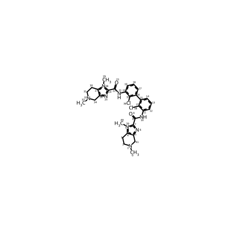 CN1CCc2c(nc(C(=O)Nc3cccc(-c4cccc(NC(=O)c5nc6c(n5C)CCN(C)C6)c4Cl)c3Cl)n2C)C1